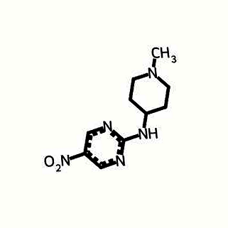 CN1CCC(Nc2ncc([N+](=O)[O-])cn2)CC1